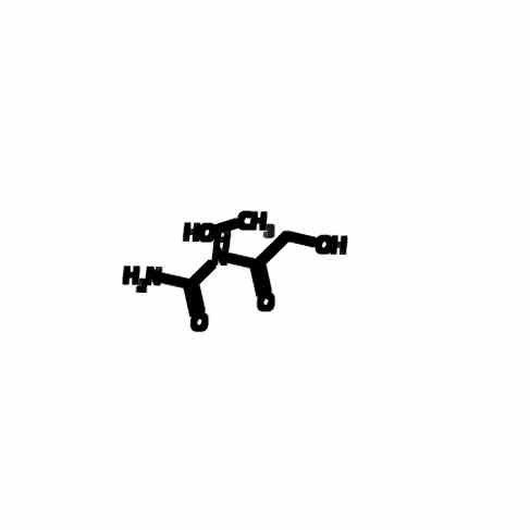 CO.NC(=O)NC(=O)CO